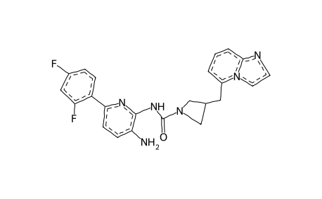 Nc1ccc(-c2ccc(F)cc2F)nc1NC(=O)N1CC(Cc2cccc3nccn23)C1